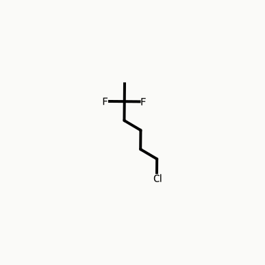 CC(F)(F)CCCCCl